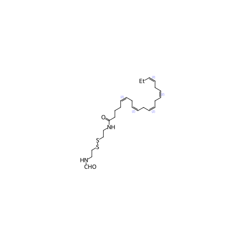 CC/C=C\C/C=C\C/C=C\C/C=C\C/C=C\CCCC(=O)NCCSSCCNC=O